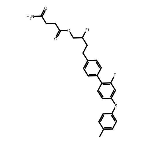 CCC(CCc1ccc(-c2ccc(Sc3ccc(C)cc3)cc2F)cc1)COC(=O)CCC(N)=O